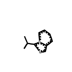 CC(C)c1ncc2ccccn12